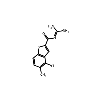 Cc1ccc2sc(C(=O)N=C(N)N)cc2c1Cl